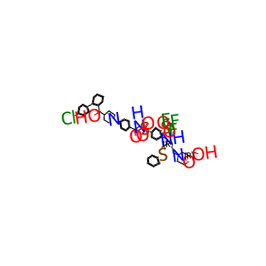 O=C(NS(=O)(=O)c1ccc(N[C@H](CCN2CCO[C@@H](CO)C2)CSc2ccccc2)c(S(=O)(=O)C(F)(F)F)c1)c1ccc(N2CCC(C(O)c3ccccc3-c3ccc(Cl)cc3)CC2)cc1